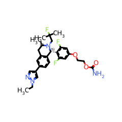 CCn1cc(-c2ccc3c(c2)C[C@@H](C)N(CC(C)(C)F)[C@@H]3c2c(F)cc(OCCOC(N)=O)cc2F)cn1